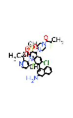 C=C(F)C(=O)N1CCN(c2c(S(C)(=O)=O)c(=O)n(-c3c(C)ccnc3C(C)C)c3c(F)c(-c4cc(N)cc5ccccc45)c(Cl)cc23)CC1